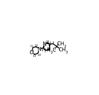 CC(C)(C)Cc1ccc(N2CCOCC2)nc1